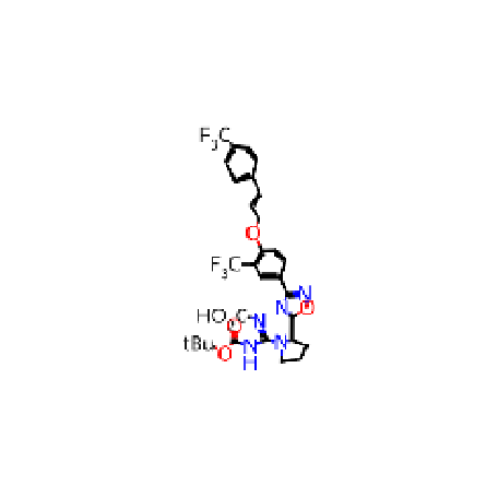 CC(C)(C)OC(=O)NC(=NC(=O)O)N1CCCC1c1nc(-c2ccc(OC/C=C/c3ccc(C(F)(F)F)cc3)c(C(F)(F)F)c2)no1